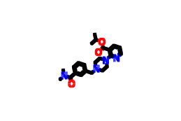 CC(C)OC(=O)c1cccnc1N1CCN(Cc2cccc(C(=O)N(C)C)c2)CC1